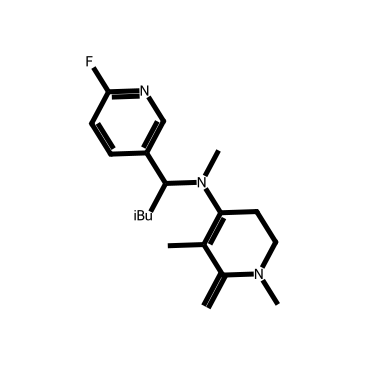 C=C1C(C)=C(N(C)C(c2ccc(F)nc2)C(C)CC)CCN1C